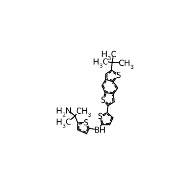 CC(C)(C)c1cc2cc3sc(-c4ccc(Bc5ccc(C(C)(C)N)s5)s4)cc3cc2s1